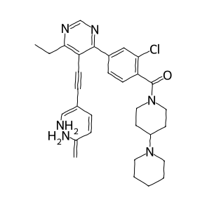 C=C(N)/C=C\C(C#Cc1c(CC)ncnc1-c1ccc(C(=O)N2CCC(N3CCCCC3)CC2)c(Cl)c1)=C/N